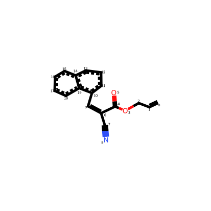 C=CCOC(=O)C(C#N)=Cc1cccc2ccccc12